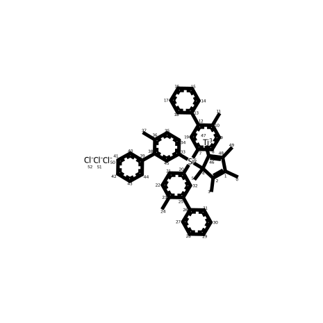 CC1=C(C)C(C)([Si](c2ccc(C)c(-c3ccccc3)c2)(c2ccc(C)c(-c3ccccc3)c2)c2ccc(C)c(-c3ccccc3)c2)[C]([Ti+3])=C1C.[Cl-].[Cl-].[Cl-]